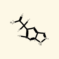 CC(=O)C(F)(F)c1cc2cn[nH]c2cc1F